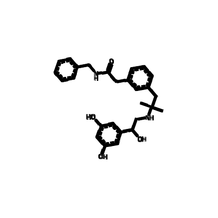 CC(C)(Cc1cccc(CC(=O)NCc2ccccc2)c1)NCC(O)c1cc(O)cc(O)c1